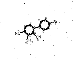 N#Cc1ccc(-c2ccc(Br)cc2)c(C#N)c1N